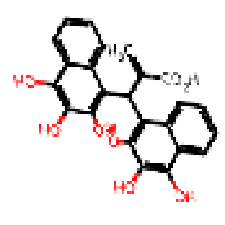 C=C(C(=O)O)C(c1c(O)c(O)c(O)c2ccccc12)c1c(O)c(O)c(O)c2ccccc12